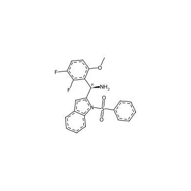 COc1ccc(F)c(F)c1[C@@H](N)c1cc2ccccc2n1S(=O)(=O)c1ccccc1